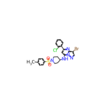 Cc1ccc(S(=O)(=O)N2CCC(Nc3cc(-c4ccccc4Cl)nc4c(Br)cnn34)CC2)cc1